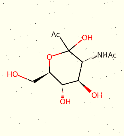 CC(=O)N[C@@H]1[C@@H](O)[C@H](O)[C@@H](CO)OC1(O)C(C)=O